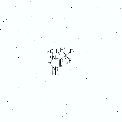 CN1[CH]NC=C1C(F)(F)F